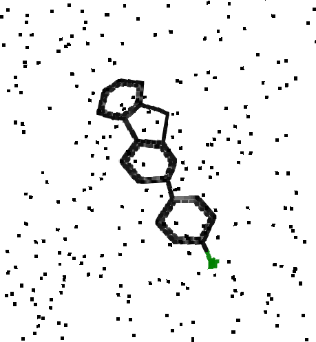 Brc1ccc(-c2ccc3c(c2)Cc2ccccc2-3)cc1